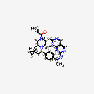 C=CC(=O)N1CCN(C(CC2(C)CC2)c2ccc([C@H](C)Nc3ncc4c(n3)N(C(C)C)C(=C)N=C4)cc2)CC1